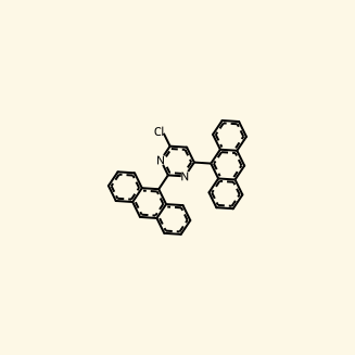 Clc1cc(-c2c3ccccc3cc3ccccc23)nc(-c2c3ccccc3cc3ccccc23)n1